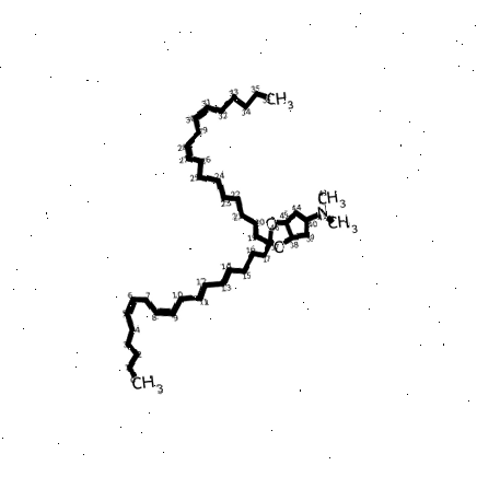 CCCCC/C=C\C/C=C\CCCCCCCCC1(CCCCCCCC/C=C\C/C=C\CCCCC)OC2CC(N(C)C)CC2O1